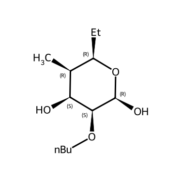 CCCCO[C@H]1[C@@H](O)[C@@H](C)[C@@H](CC)O[C@H]1O